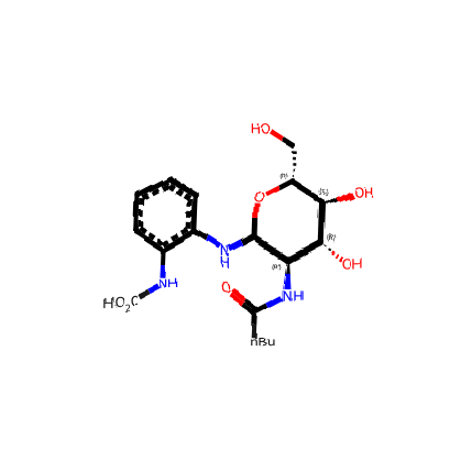 CCCCC(=O)N[C@H]1C(Nc2ccccc2NC(=O)O)O[C@H](CO)[C@@H](O)[C@@H]1O